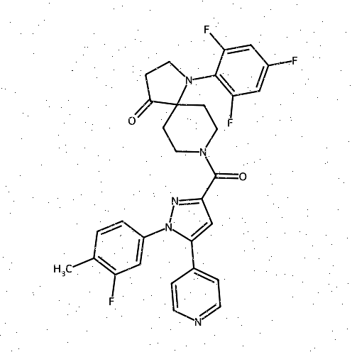 Cc1ccc(-n2nc(C(=O)N3CCC4(CC3)C(=O)CCN4c3c(F)cc(F)cc3F)cc2-c2ccncc2)cc1F